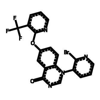 O=c1ncn(-c2cccnc2Br)c2ccc(Oc3ncccc3C(F)(F)F)cc12